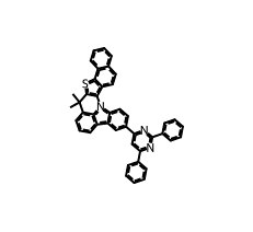 CC1(C)c2sc3c(ccc4ccccc43)c2-n2c3ccc(-c4cc(-c5ccccc5)nc(-c5ccccc5)n4)cc3c3cccc1c32